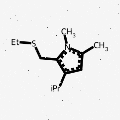 CCSCc1c(C(C)C)cc(C)n1C